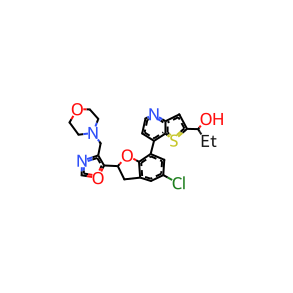 CCC(O)c1cc2nccc(-c3cc(Cl)cc4c3OC(c3ocnc3CN3CCOCC3)C4)c2s1